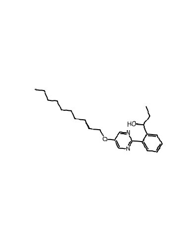 CCCCCCCCCCOc1cnc(-c2ccccc2C(O)CC)nc1